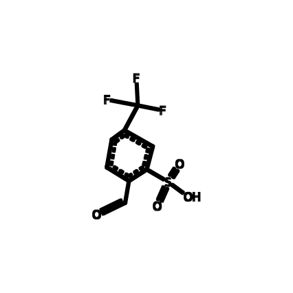 O=Cc1ccc(C(F)(F)F)cc1S(=O)(=O)O